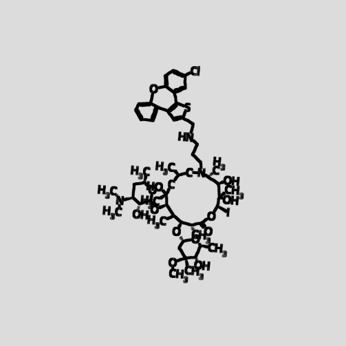 CO[C@]1(C)C[C@H](O[C@H]2C(C)[C@@H](O[C@@H]3O[C@H](C)C[C@H](N(C)C)[C@H]3O)[C@](C)(O)C[C@@H](C)CN(CCCNCc3cc4c(s3)-c3cc(Cl)ccc3Oc3ccccc3-4)[C@H](C)[C@@H](O)[C@](C)(O)[C@@H](I)OC(=O)[C@@H]2C)O[C@@H](C)[C@@H]1O